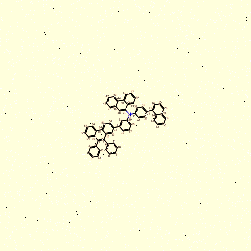 c1ccc(-c2c(-c3ccccc3)c3cc(-c4cccc(N(c5ccc(-c6cccc7ccccc67)cc5)c5cc6ccccc6c6ccccc56)c4)ccc3c3ccccc23)cc1